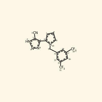 N#Cc1[nH]nnc1-c1cccn1Cc1cc(C(F)(F)F)cc(C(F)(F)F)c1